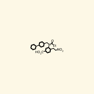 CCC(=O)N(Cc1ccc(-c2ccccc2)cc1)c1cc(C(=O)O)ccc1CC[N+](=O)[O-]